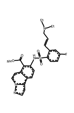 CCN(CC)CC=Cc1cc(F)ccc1S(=O)(=O)Nc1ccc2c(ccn3nccc23)c1C(=O)OC